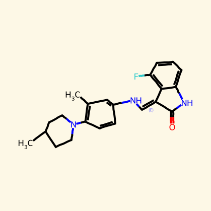 Cc1cc(N/C=C2/C(=O)Nc3cccc(F)c32)ccc1N1CCC(C)CC1